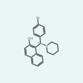 Oc1ccc2ccccc2c1[C@@H](c1ccc(Br)cc1)N1CCCCC1